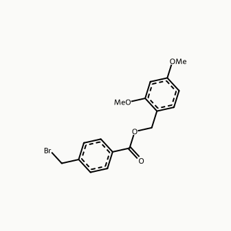 COc1ccc(COC(=O)c2ccc(CBr)cc2)c(OC)c1